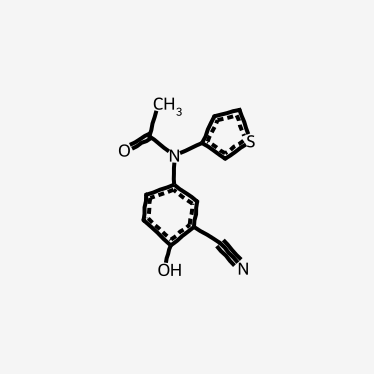 CC(=O)N(c1ccsc1)c1ccc(O)c(C#N)c1